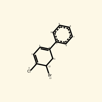 ClC1=CC=C(c2ccccc2)C[C]1Br